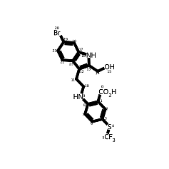 O=C(O)c1cc(SC(F)(F)F)ccc1NCCc1c(CO)[nH]c2cc(Br)ccc12